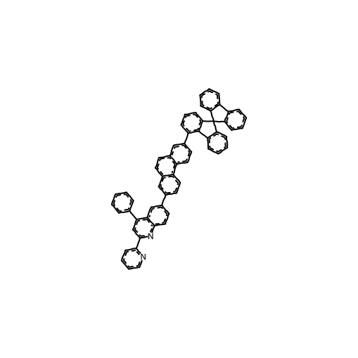 c1ccc(-c2cc(-c3ccccn3)nc3ccc(-c4ccc5c(ccc6cc(-c7cccc8c7-c7ccccc7C87c8ccccc8-c8ccccc87)ccc65)c4)cc23)cc1